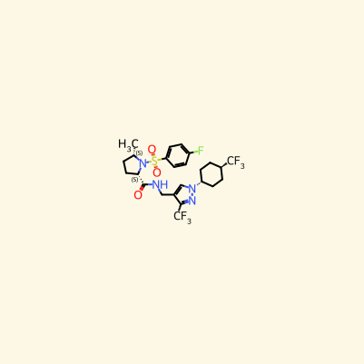 C[C@H]1CC[C@@H](C(=O)NCc2cn([C@H]3CC[C@H](C(F)(F)F)CC3)nc2C(F)(F)F)N1S(=O)(=O)c1ccc(F)cc1